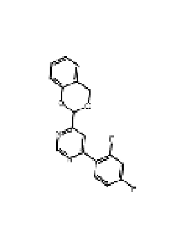 Fc1ccc(-c2cc(C3OCc4ccccc4O3)ncn2)c(F)c1